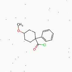 COC1CCC(C(=O)Cl)(c2ccccc2)CC1